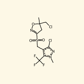 Cn1nc(Cl)c(CS(=O)(=O)C2=NOC(C)(CCl)C2)c1C(F)(F)F